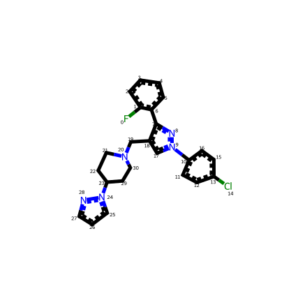 Fc1ccccc1-c1nn(-c2ccc(Cl)cc2)cc1CN1CCC(n2cccn2)CC1